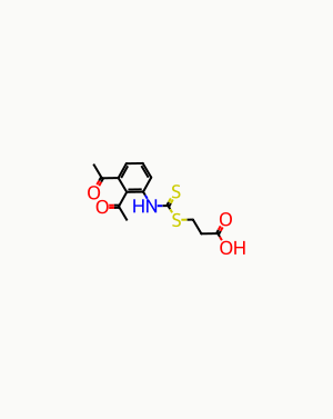 CC(=O)c1cccc(NC(=S)SCCC(=O)O)c1C(C)=O